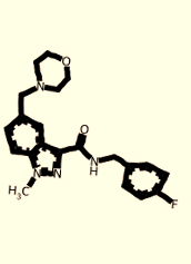 Cn1nc(C(=O)NCc2ccc(F)cc2)c2cc(CN3CCOCC3)ccc21